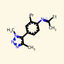 CC/C(C)=N/c1ccc(-c2c(C)nnn2C)cc1C(C)C